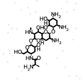 CNC1C(O[C@H]2OC(CO)[C@@H](NC(=O)[C@@H](C)N)CC2O)O[C@H]2CC(N)[C@@H](O[C@@H]3C(N)C[C@@H](N)C(O)C3O)OC2C1O